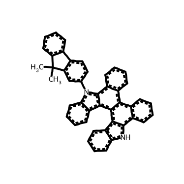 CC1(C)c2ccccc2-c2ccc(-n3c4ccccc4c4c5c(c6ccccc6c6[nH]c7ccccc7c65)c5ccccc5c43)cc21